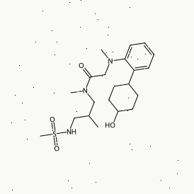 CC(CNS(C)(=O)=O)CN(C)C(=O)CN(C)c1ccccc1C1CCC(O)CC1